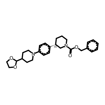 O=C(OCc1ccccc1)N1CCC[C@@H](c2ccc(N3CCC(C4OCCO4)CC3)cc2)C1